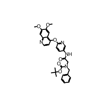 COc1cc2nccc(Oc3ccc(NC(=O)CN(Cc4ccccc4)C(=O)OC(C)(C)C)cn3)c2cc1OC